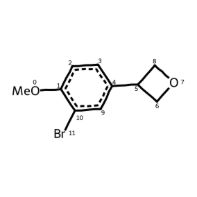 COc1ccc(C2COC2)cc1Br